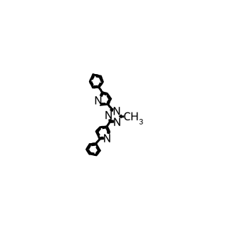 Cc1nc(-c2ccc(-c3ccccc3)nc2)nc(-c2ccc(-c3ccccc3)nc2)n1